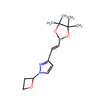 CC1(C)OB(/C=C/c2ccn(C3CCO3)n2)OC1(C)C